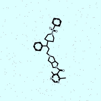 Cc1ncnc(C)c1C(=O)N1CC2CN(CCC(c3ccccc3)C3CCN(S(=O)(=O)c4ccccc4)CC3)CC2C1